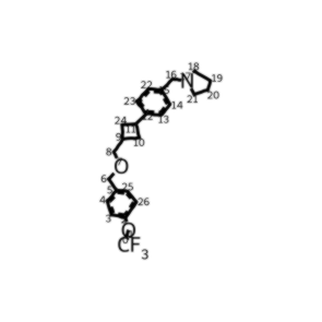 FC(F)(F)Oc1ccc(COCC2CC(c3ccc(CN4CCCC4)cc3)C2)cc1